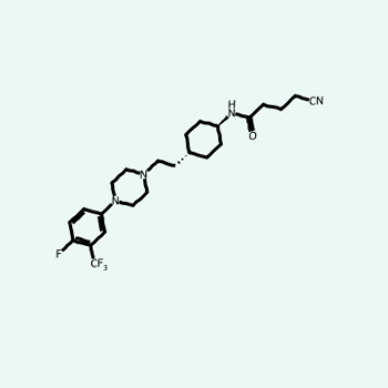 N#CCCCC(=O)N[C@H]1CC[C@H](CCN2CCN(c3ccc(F)c(C(F)(F)F)c3)CC2)CC1